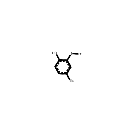 CCSc1cc(C(C)CC)ccc1O